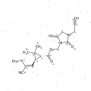 C#CCN1CC(=O)N(COC(=O)[C@@H]2[C@@H](/C=C(/C#N)SCC)C2(C)C)C1=O